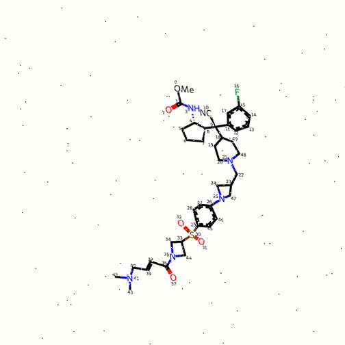 COC(=O)N[C@H]1CCC[C@@H]1[C@](C#N)(c1cccc(F)c1)C1CCN(CC2CN(c3ccc(S(=O)(=O)C4CN(C(=O)/C=C/CN(C)C)C4)cc3)C2)CC1